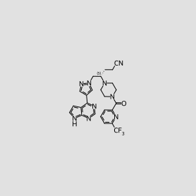 N#CCC[C@@H](Cn1cc(-c2ncnc3[nH]ccc23)cn1)N1CCN(C(=O)c2cccc(C(F)(F)F)n2)CC1